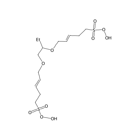 CCC(COC/C=C/CCS(=O)(=O)OO)OC/C=C/CCS(=O)(=O)OO